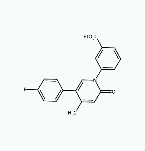 CCOC(=O)c1cccc(-n2cc(-c3ccc(F)cc3)c(C)cc2=O)c1